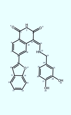 O=C1NC(=O)c2ccc(-c3cc4ccccc4o3)cc2/C1=C\NCc1ccc(O)c(O)c1